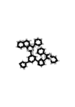 c1ccc(-c2cc(-c3cccc(-c4c(-c5ccccc5)nc5ccccn45)c3)cc(-c3nc(-c4ccccc4)c4ccc5ccccc5c4n3)c2)cc1